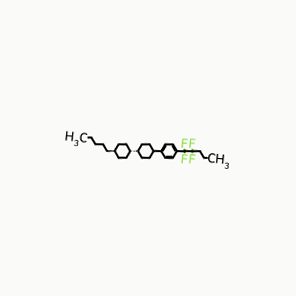 CCCCC[C@H]1CC[C@H](C2CCC(c3ccc(C(F)(F)C(F)(F)CCC)cc3)CC2)CC1